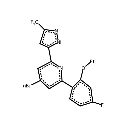 CCCCc1cc(-c2cc(C(F)(F)F)n[nH]2)nc(-c2ccc(F)cc2OCC)c1